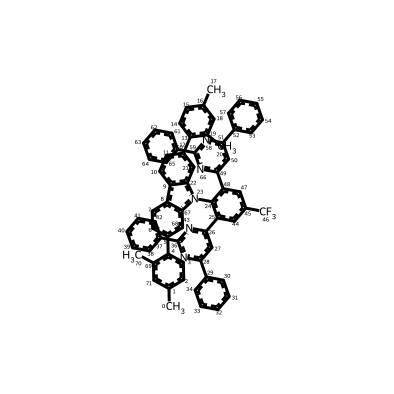 Cc1ccc(-c2ccc3c4ccc(-c5ccc(C)cc5C)cc4n(-c4c(-c5cc(-c6ccccc6)nc(-c6ccccc6)n5)cc(C(F)(F)F)cc4-c4cc(-c5ccccc5)nc(-c5ccccc5)n4)c3c2)c(C)c1